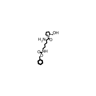 N[C@@H](CCCCNC(=O)OCc1ccccc1)C(=O)N1CCC[C@H]1CO